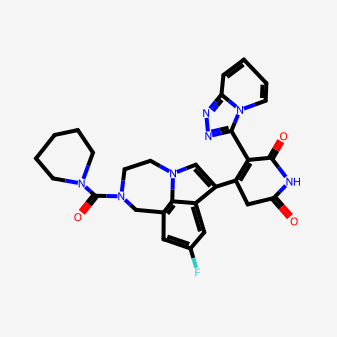 O=C1CC(c2cn3c4c(cc(F)cc24)CN(C(=O)N2CCCCC2)CC3)=C(c2nnc3ccccn23)C(=O)N1